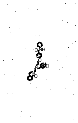 Cl.Cl.O=C(NC1CCCCC1)c1ccc(OCCCN(CCn2ccc3ccccc3c2=O)Cc2ccncc2)cc1